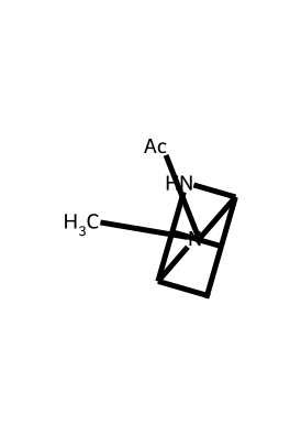 CC(=O)C1C2NC3C2CC3N1C